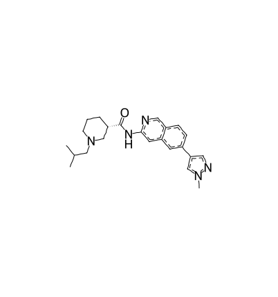 CC(C)CN1CCC[C@H](C(=O)Nc2cc3cc(-c4cnn(C)c4)ccc3cn2)C1